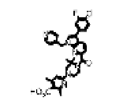 Cc1cc(N2CCN(C(=O)c3ccc4c(-c5ccc(Cl)c(F)c5)cn(Cc5ccncc5)c4n3)C(C)(C)C2)nc(C)c1C(=O)O